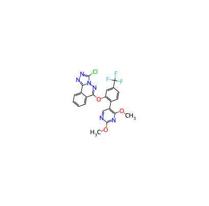 COc1ncc(-c2ccc(C(F)(F)F)cc2Oc2nn3c(Cl)nnc3c3ccccc23)c(OC)n1